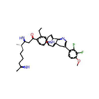 CCc1cc(N/C2=C\C/C=C\C=C3\CC(c4ccc(OC)c(F)c4F)=CN=C32)ccc1C(=O)CC(=N)[C@@H](C)CCCCC(C)=N